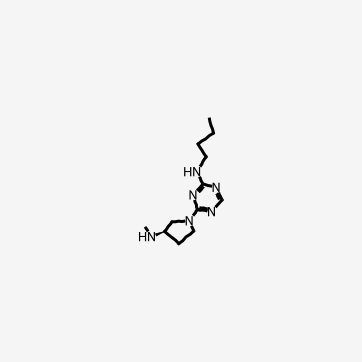 CCCCNc1ncnc(N2CC[C@@H](NC)C2)n1